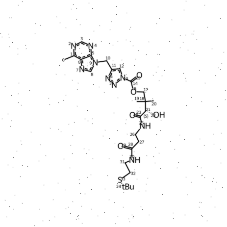 Cc1ncnc2c1ncn2Cc1cn(C(=O)OCC(C)(C)[C@H](O)C(=O)NCCC(=O)NCCSC(C)(C)C)nn1